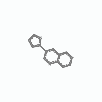 [c]1ccc2ncc(-c3cccs3)cc2c1